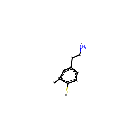 Cc1cc(CCN)ccc1S